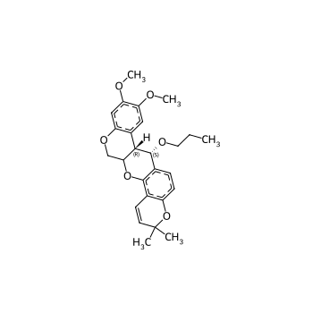 CCCO[C@@H]1c2ccc3c(c2OC2COc4cc(OC)c(OC)cc4[C@@H]21)C=CC(C)(C)O3